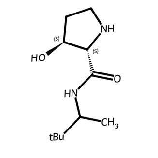 CC(NC(=O)[C@H]1NCC[C@@H]1O)C(C)(C)C